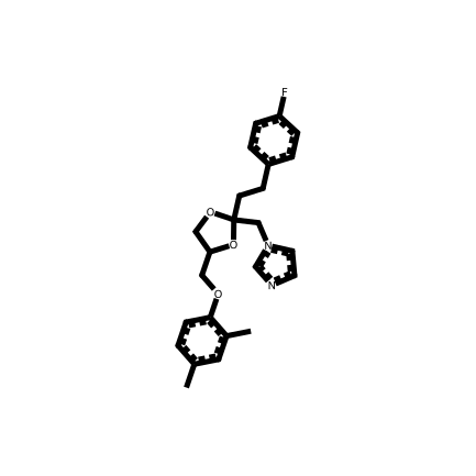 Cc1ccc(OCC2COC(CCc3ccc(F)cc3)(Cn3ccnc3)O2)c(C)c1